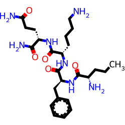 CCC[C@H](N)C(=O)N[C@@H](Cc1ccccc1)C(=O)N[C@@H](CCCCN)C(=O)N[C@@H](CCC(N)=O)C(N)=O